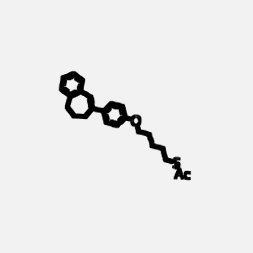 CC(=O)SCCCCCOc1ccc(C2=Cc3ccccc3CCC2)cc1